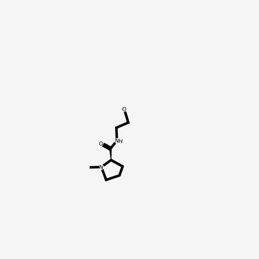 CN1CCC[C@@H]1C(=O)NCC[O]